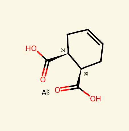 O=C(O)[C@H]1CC=CC[C@H]1C(=O)O.[Al]